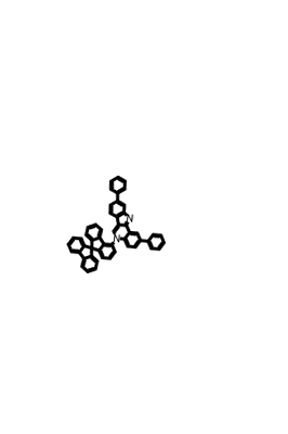 c1ccc(-c2ccc3c4cn(-c5cccc6c5-c5ccccc5C65c6ccccc6-c6ccccc65)c5ccc(-c6ccccc6)cc5c-4nc3c2)cc1